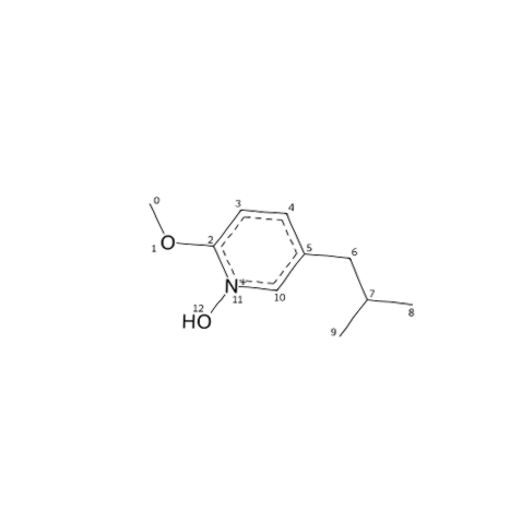 COc1ccc(CC(C)C)c[n+]1O